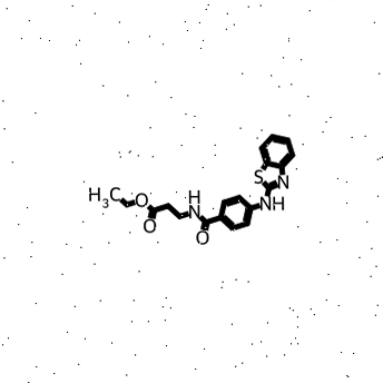 CCOC(=O)CCNC(=O)c1ccc(Nc2nc3ccccc3s2)cc1